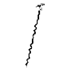 S=C(S)NCCCCCCCCCCCCCCCCCCCCCCCI